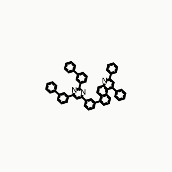 c1ccc(-c2cccc(-c3cc(-c4cccc(-c5cccc6c5ccc5nc(-c7ccccc7)cc(-c7ccccc7)c56)c4)nc(-c4cccc(-c5ccccc5)c4)n3)c2)cc1